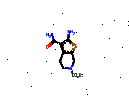 CCOC(=O)N1CCc2c(sc(N)c2C(N)=O)C1